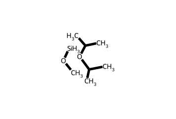 CC(C)OC(C)C.CO[SiH3]